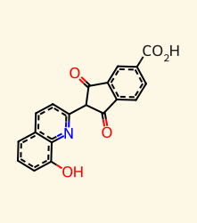 O=C(O)c1ccc2c(c1)C(=O)C(c1ccc3cccc(O)c3n1)C2=O